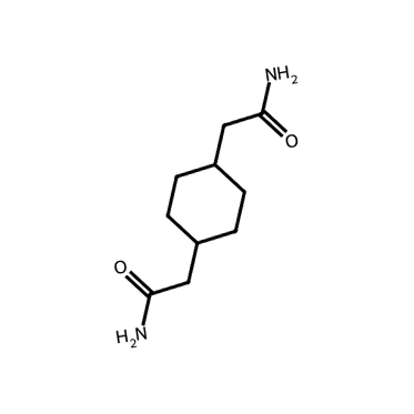 NC(=O)CC1CCC(CC(N)=O)CC1